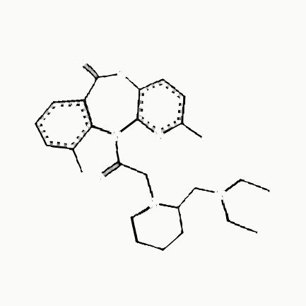 CCN(CC)CC1CCCCN1CC(=O)N1c2nc(C)ccc2NC(=O)c2cccc(C)c21